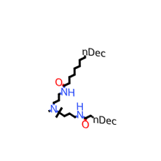 CCCCCCCCCCCCCCCCCC(=O)NCCCN(C)C(C)(C)CCCNC(=O)CCCCCCCCCCC